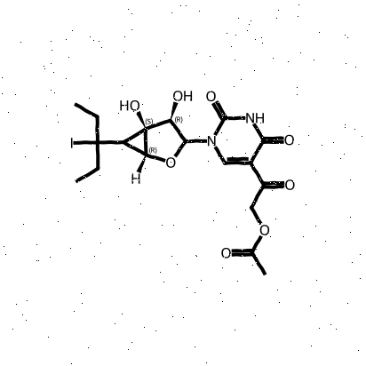 CCC(I)(CC)C1[C@H]2OC(n3cc(C(=O)COC(C)=O)c(=O)[nH]c3=O)[C@H](O)[C@@]12O